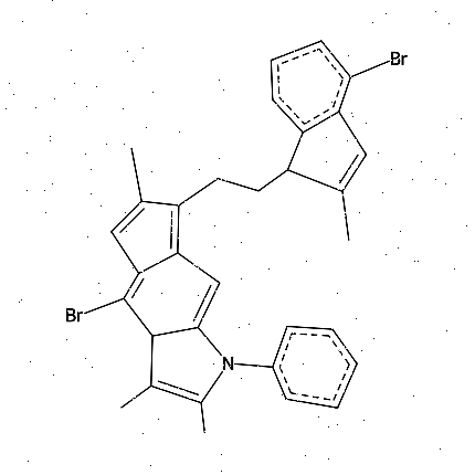 CC1=CC2=C(Br)C3C(=CC2=C1CCC1C(C)=Cc2c(Br)cccc21)N(c1ccccc1)C(C)=C3C